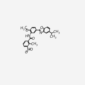 COc1ccc(-c2nc3cc(C(C)C)ccc3o2)cc1NC(=O)c1cccc([N+](=O)[O-])c1C